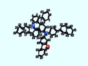 c1ccc(-c2cccc(-n3c4ccccc4c4cc5ccccc5cc43)c2-c2ccc(N(c3ccc(-c4ccc5ccccc5c4)cc3)c3ccc4c(c3)oc3ccccc34)cc2)cc1